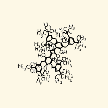 CC(C)(C)c1cc(CC2=C(O)C(=C3C(=O)C(c4c(O)c(Cc5cc(C(C)(C)C)cc(C(C)(C)C)c5)c(O)c(Cc5cc(C(C)(C)C)cc(C(C)(C)C)c5)c4O)=C3O)C(O)=C(Cc3cc(C(C)(C)C)cc(C(C)(C)C)c3)C2=O)cc(C(C)(C)C)c1